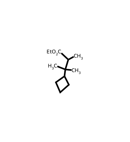 CCOC(=O)C(C)C(C)(C)C1CCC1